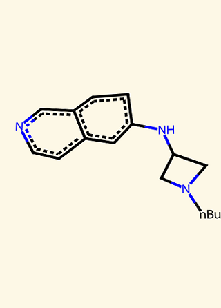 CCCCN1CC(Nc2ccc3cnccc3c2)C1